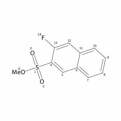 COS(=O)(=O)c1cc2ccccc2cc1F